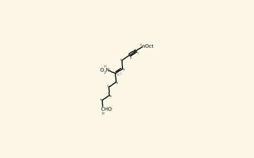 CCCCCCCCC#CC/C=C(/CCCC[C]=O)[N+](=O)[O-]